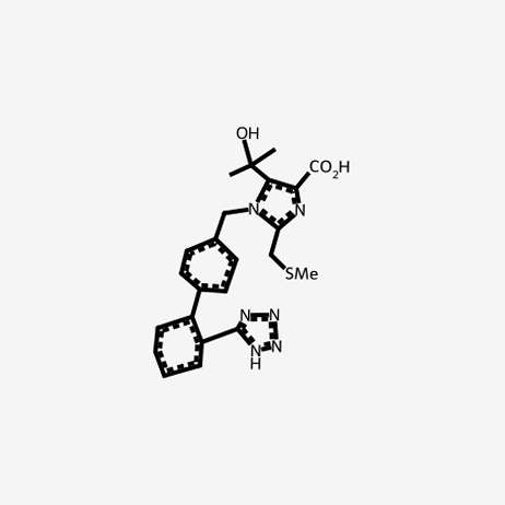 CSCc1nc(C(=O)O)c(C(C)(C)O)n1Cc1ccc(-c2ccccc2-c2nnn[nH]2)cc1